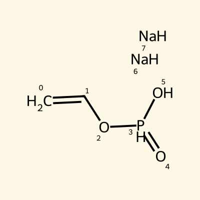 C=CO[PH](=O)O.[NaH].[NaH]